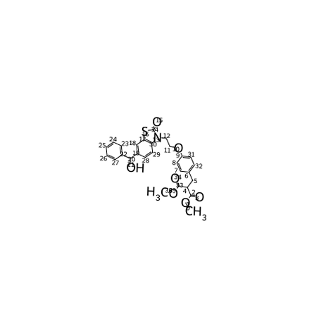 COC(=O)C(Cc1ccc(OCCn2c(=O)sc3cc(C(O)c4ccccc4)ccc32)cc1)C(=O)OC